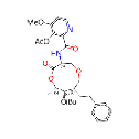 COc1ccnc(C(=O)N[C@H]2COC[C@H](CCc3ccccc3)[C@@H](OCC(C)C)[C@H](C)OC2=O)c1OC(C)=O